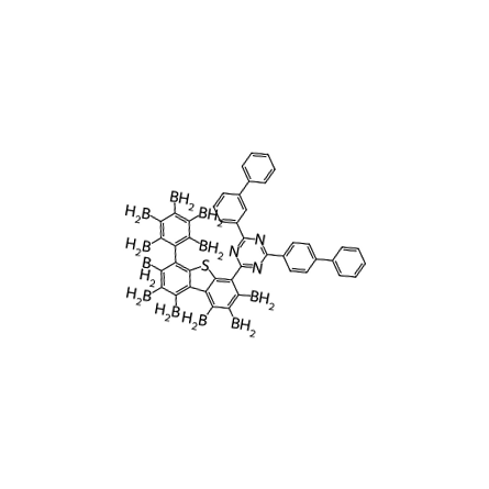 Bc1c(B)c(B)c(-c2c(B)c(B)c(B)c3c2sc2c(-c4nc(-c5ccc(-c6ccccc6)cc5)nc(-c5cccc(-c6ccccc6)c5)n4)c(B)c(B)c(B)c23)c(B)c1B